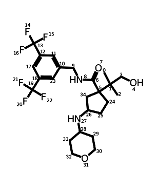 CC(C)(CO)C1(C(=O)NCc2cc(C(F)(F)F)cc(C(F)(F)F)c2)CCC(NC2CCOCC2)C1